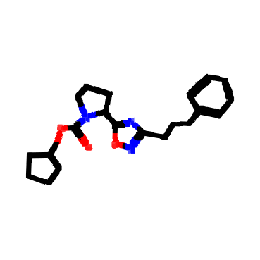 O=C(OC1CCCC1)N1CCCC1c1nc(CCCc2ccccc2)no1